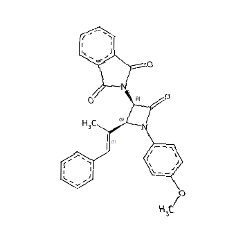 COc1ccc(N2C(=O)[C@H](N3C(=O)c4ccccc4C3=O)[C@@H]2/C(C)=C/c2ccccc2)cc1